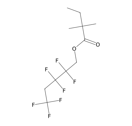 CCC(C)(C)C(=O)OCC(F)(F)C(F)(F)CC(F)(F)F